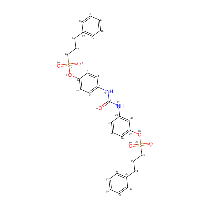 O=C(Nc1ccc(OS(=O)(=O)CCCc2ccccc2)cc1)Nc1cccc(OS(=O)(=O)CCCc2ccccc2)c1